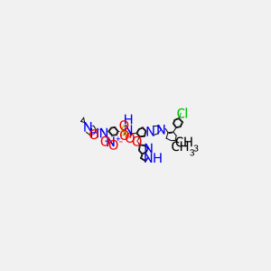 CC1(C)CCC(CN2CCN(c3ccc(C(=O)NS(=O)(=O)c4ccc(NC[C@H]5CN(C6CC6)CCO5)c([N+](=O)[O-])c4)c(Oc4cnc5[nH]ccc5c4)c3)CC2)=C(c2ccc(Cl)cc2)C1